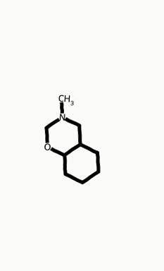 CN1COC2CCCCC2C1